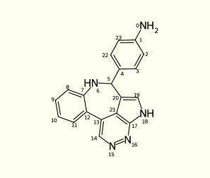 Nc1ccc(C2Nc3ccccc3-c3cnnc4[nH]cc2c34)cc1